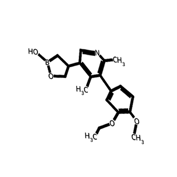 CCOc1cc(-c2c(C)ncc(C3COB(O)C3)c2C)ccc1OC